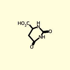 O=C1CC(C(=O)O)NC(=O)N1